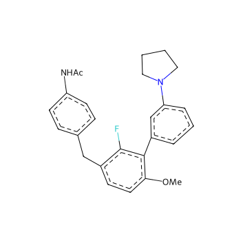 COc1ccc(Cc2ccc(NC(C)=O)cc2)c(F)c1-c1cccc(N2CCCC2)c1